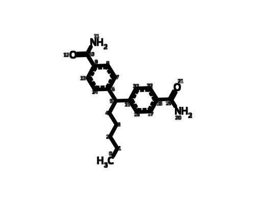 CCCCCC(c1ccc(C(N)=O)cc1)c1ccc(C(N)=O)cc1